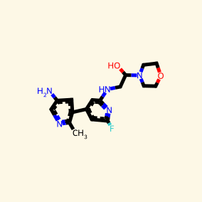 Cc1ncc(N)cc1-c1cc(F)nc(NCC(O)N2CCOCC2)c1